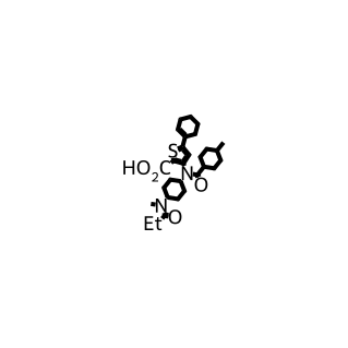 CCC(=O)N(C)C1CCC(N(C(=O)C2CCC(C)CC2)c2cc(C3=CCCCC3)sc2C(=O)O)CC1